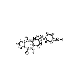 CN1C(=O)c2sccc2N(C)c2nc(Nc3ccc(O)cc3)ncc21